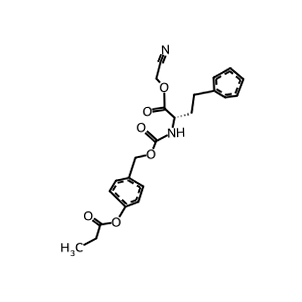 CCC(=O)Oc1ccc(COC(=O)N[C@@H](CCc2ccccc2)C(=O)OCC#N)cc1